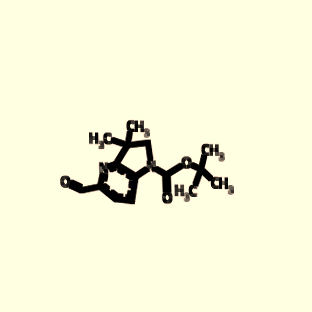 CC(C)(C)OC(=O)N1CC(C)(C)c2nc(C=O)ccc21